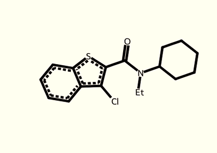 CCN(C(=O)c1sc2ccccc2c1Cl)C1CCCCC1